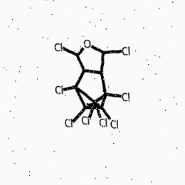 ClC1=C(Cl)C2(Cl)C3C(Cl)OC(Cl)C3C1(Cl)C2(Cl)Cl